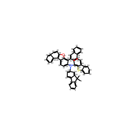 CC1(C)c2ccccc2-c2ccc(N(c3ccc4c(oc5ccc6ccccc6c54)c3-c3ccc4ccccc4c3)c3cccc4c3sc3ccccc34)cc21